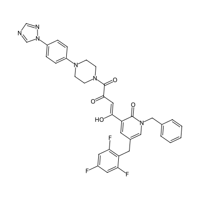 O=C(C=C(O)c1cc(Cc2c(F)cc(F)cc2F)cn(Cc2ccccc2)c1=O)C(=O)N1CCN(c2ccc(-n3cncn3)cc2)CC1